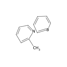 Cc1ccccn1.b1ccccc1